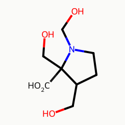 O=C(O)C1(CO)C(CO)CCN1CO